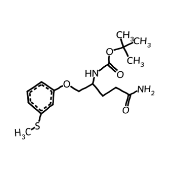 CSc1cccc(OCC(CCC(N)=O)NC(=O)OC(C)(C)C)c1